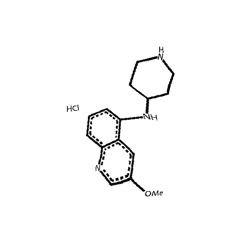 COc1cnc2cccc(NC3CCNCC3)c2c1.Cl